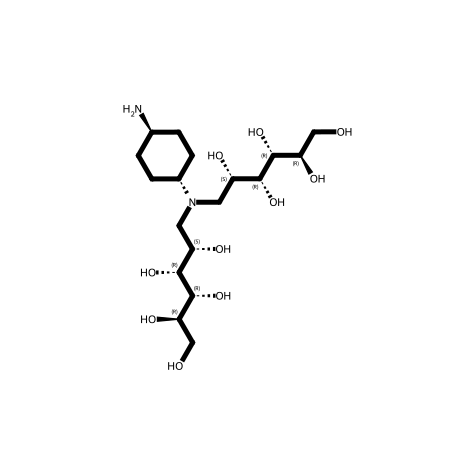 N[C@H]1CC[C@H](N(C[C@H](O)[C@@H](O)[C@H](O)[C@H](O)CO)C[C@H](O)[C@@H](O)[C@H](O)[C@H](O)CO)CC1